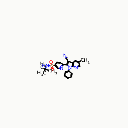 Cc1cnc2c(c1)c(C#N)c(-c1ccc(S(=O)(=O)NC(C)(C)C)cn1)n2-c1ccccc1